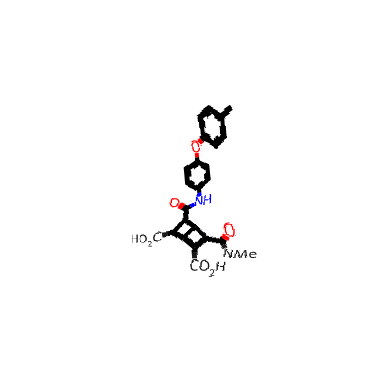 CNC(=O)C1C(C(=O)O)C2C(C(=O)O)C(C(=O)Nc3ccc(Oc4ccc(C)cc4)cc3)C12